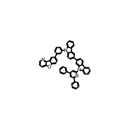 c1ccc(-c2cc(-c3ccccc3)nc(-n3c4ccccc4c4ccc(-c5ccc6c(c5)c5ccccc5n6-c5cccc(-c6ccc7oc8cccnc8c7c6)c5)cc43)c2)cc1